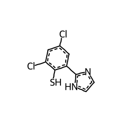 Sc1c(Cl)cc(Cl)cc1-c1ncc[nH]1